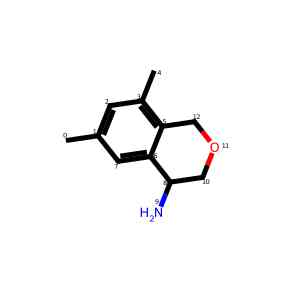 Cc1cc(C)c2c(c1)C(N)COC2